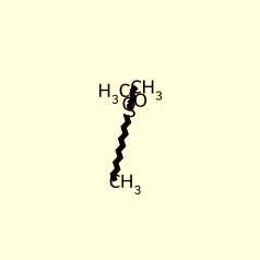 CCCCCCCCCCCCSOC(=O)C(C)C